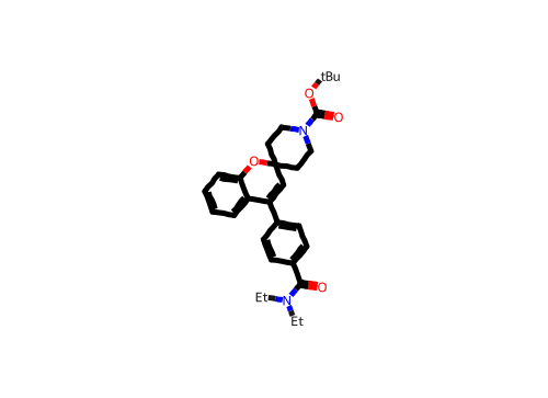 CCN(CC)C(=O)c1ccc(C2=CC3(CCN(C(=O)OC(C)(C)C)CC3)Oc3ccccc32)cc1